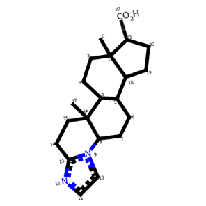 CC12CCC3C(CCC4n5ccnc5CCC34C)C1CCC2C(=O)O